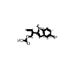 C=CC(COC(=O)O)c1cc2cc(Br)ccc2n1C